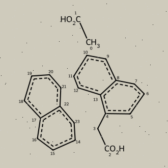 CC(=O)O.O=C(O)Cc1cccc2ccccc12.c1ccc2ccccc2c1